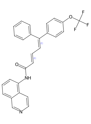 O=C(/C=C/C=C(\c1ccccc1)c1ccc(OC(F)(F)F)cc1)Nc1cccc2cnccc12